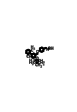 Cc1cccc(C)c1-c1ccc(O[Si](C)(C)C(C)(C)C)c(COc2ccc(C=NO)cc2)c1